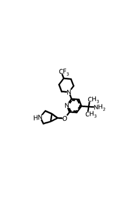 CC(C)(N)c1cc(OC2C3CNCC32)nc(N2CCC(C(F)(F)F)CC2)c1